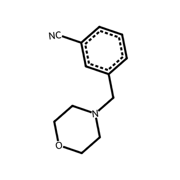 N#Cc1cccc(CN2CCOCC2)c1